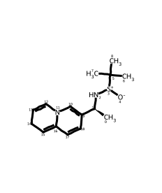 C[C@H](N[S+]([O-])C(C)(C)C)C1=CN2C=CCC=C2C=C1